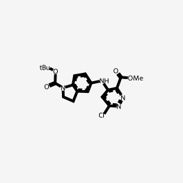 COC(=O)c1nnc(Cl)cc1Nc1ccc2c(c1)CCN2C(=O)OC(C)(C)C